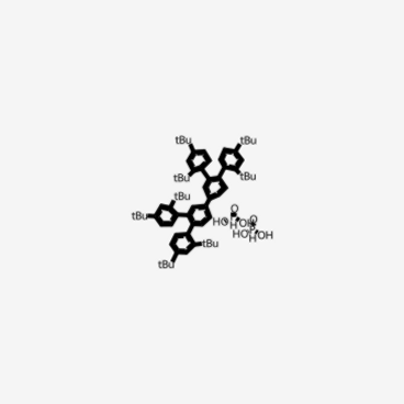 CC(C)(C)c1ccc(-c2ccc(-c3ccc(-c4ccc(C(C)(C)C)cc4C(C)(C)C)c(-c4ccc(C(C)(C)C)cc4C(C)(C)C)c3)cc2-c2ccc(C(C)(C)C)cc2C(C)(C)C)c(C(C)(C)C)c1.O=[PH](O)O.O=[PH](O)O